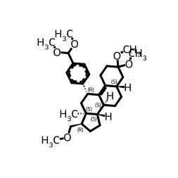 COC[C@@H]1CC[C@H]2[C@@H]3CC[C@H]4CC(OC)(OC)CCC4=C3[C@@H](c3ccc(C(OC)OC)cc3)C[C@]12C